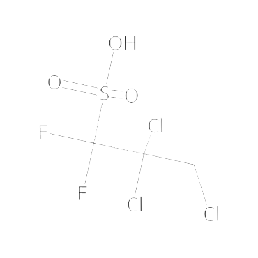 O=S(=O)(O)C(F)(F)C(Cl)(Cl)CCl